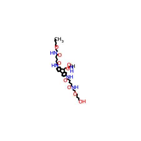 [2H]NC(=O)OCC1c2cc(NC(=O)CCCC(=O)NCCOCCCC)ccc2-c2ccc(NC(=O)CCCC(=O)NCCOCCCCO)cc21